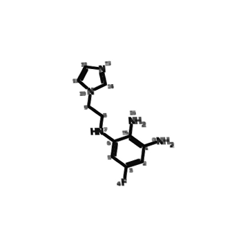 Nc1cc(F)cc(NCCn2ccnc2)c1N